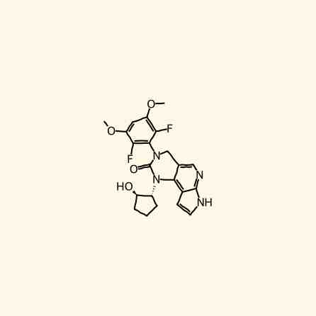 COc1cc(OC)c(F)c(N2Cc3cnc4[nH]ccc4c3N([C@@H]3CCC[C@H]3O)C2=O)c1F